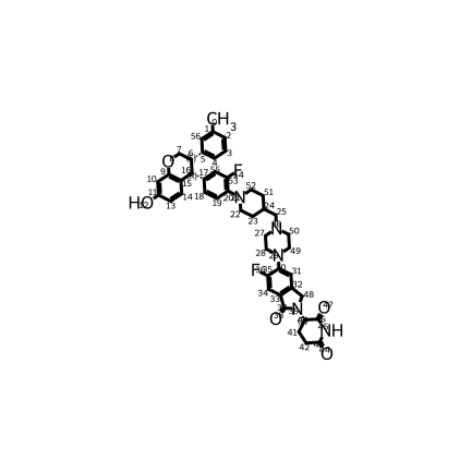 Cc1cccc([C@H]2COc3cc(O)ccc3[C@H]2c2ccc(N3CCC(CN4CCN(c5cc6c(cc5F)C(=O)N([C@H]5CCC(=O)NC5=O)C6)CC4)CC3)c(F)c2)c1